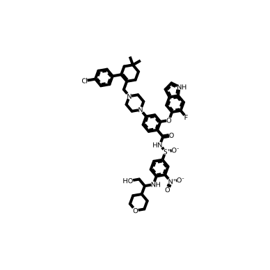 CC1(C)CCC(CN2CCN(c3ccc(C(=O)N[S+]([O-])c4ccc(NC(CO)C5CCOCC5)c([N+](=O)[O-])c4)c(Oc4cc5cc[nH]c5cc4F)c3)CC2)=C(c2ccc(Cl)cc2)C1